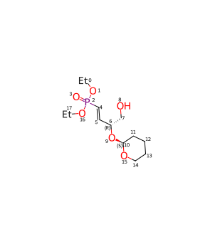 CCOP(=O)(C=C[C@H](CO)O[C@H]1CCCCO1)OCC